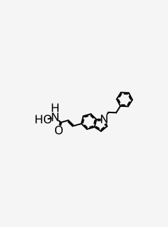 O=C(C=Cc1ccc2c(ccn2CCc2ccccc2)c1)NO